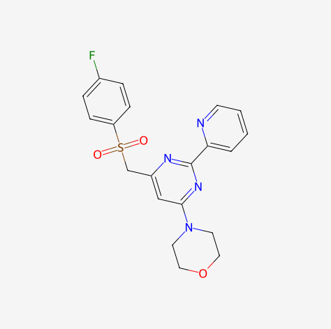 O=S(=O)(Cc1cc(N2CCOCC2)nc(-c2ccccn2)n1)c1ccc(F)cc1